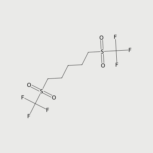 O=S(=O)(CCCCCS(=O)(=O)C(F)(F)F)C(F)(F)F